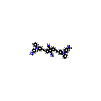 CN(C)c1ccc(N(c2ccccc2)c2ccc(C=Cc3ccc4c(C#N)c5cc(C=Cc6ccc(N(c7ccccc7)c7ccc(N(C)C)cc7)cc6)ccc5c(C#N)c4c3)cc2)cc1